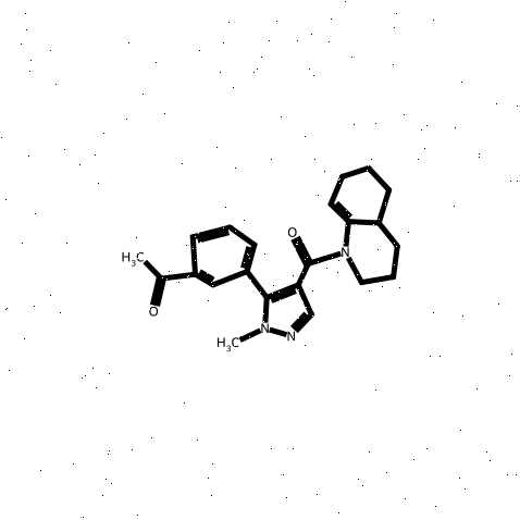 CC(=O)c1cccc(-c2c(C(=O)N3CCCC4CCCC=C43)cnn2C)c1